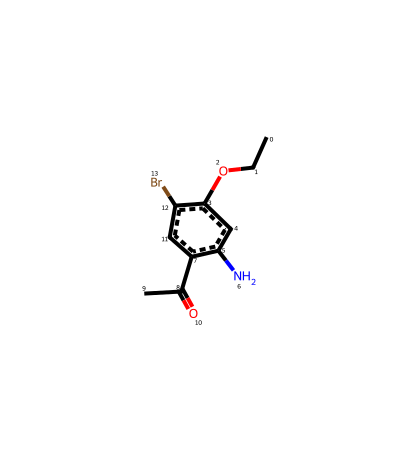 CCOc1cc(N)c(C(C)=O)cc1Br